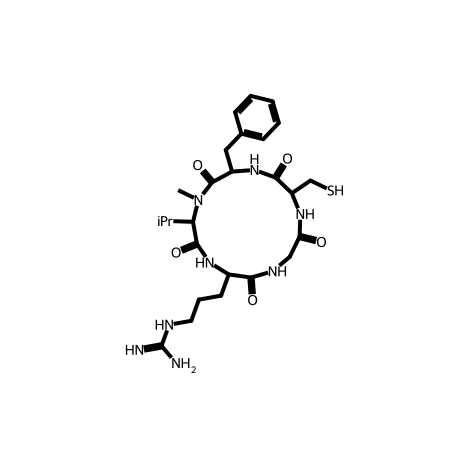 CC(C)C1C(=O)NC(CCCNC(=N)N)C(=O)NCC(=O)NC(CS)C(=O)NC(Cc2ccccc2)C(=O)N1C